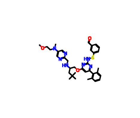 COCCN(C)c1cnc(CNC(COc2cc(-c3c(C)cccc3C)nc(NSc3cccc(C=O)c3)n2)CC(C)(C)C)nc1